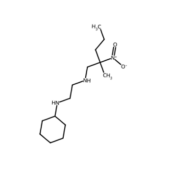 CCCC(C)(CNCCNC1CCCCC1)[N+](=O)[O-]